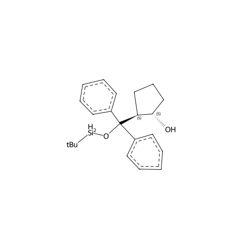 CC(C)(C)[SiH2]OC(c1ccccc1)(c1ccccc1)[C@H]1CCC[C@@H]1O